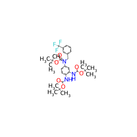 CC(C)(C)OC(=O)Nc1ccc(N(Cc2cccc(C(F)(F)F)c2)C(=O)OC(C)(C)C)cc1NC(=O)OC(C)(C)C